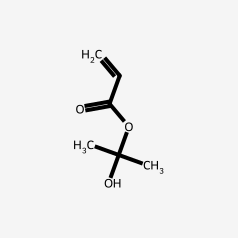 C=CC(=O)OC(C)(C)O